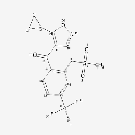 CS(=O)(=O)Cc1cc(C(F)(F)F)ccc1C(=O)c1cnoc1C1CC1